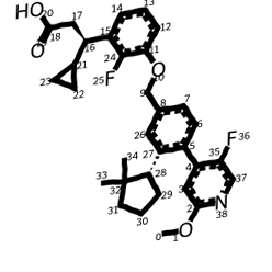 COc1cc(-c2ccc(COc3cccc([C@H](CC(=O)O)C4CC4)c3F)cc2[C@@H]2CCCC2(C)C)c(F)cn1